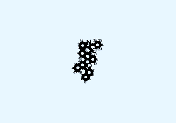 c1ccc2c(c1)ccc1oc3c(-c4c5ccccc5c(-c5oc6ccccc6c6nc7ccccc7c5-6)c5ccccc45)cc4ccccc4c3c12